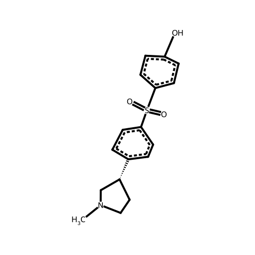 CN1CC[C@@H](c2ccc(S(=O)(=O)c3ccc(O)cc3)cc2)C1